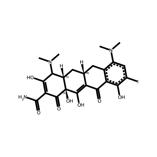 CN(C)c1cc(I)c(O)c2c1C[C@H]1C[C@H]3C(N(C)C)C(O)=C(C(N)=O)C(=O)[C@@]3(O)C(O)=C1C2=O